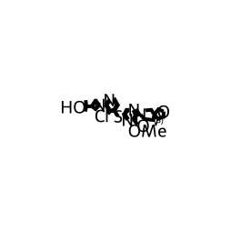 COC(=O)c1nc(Sc2ccnc(N3CC(C(C)(C)O)C3)c2Cl)cnc1N1CCC2(CC1)COC[C@H]2C